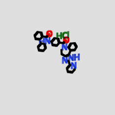 Cl.O=C(Nc1ccc(C(=O)N2CCc3nc(-c4ccccn4)[nH]c3-c3ccccc32)cc1)c1ccccc1-c1ccccc1